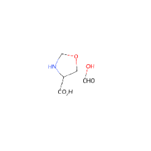 O=C(O)C1COCN1.O=CO